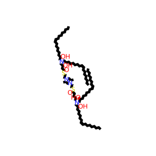 CCCCCCCC/C=C\CCCCCCC(O)CN(CCCCC(=O)SCCN1CC(C)N(CCSC(=O)CCCN(CC(O)CCCCCC/C=C\CCCCCCCC)CC(O)CCCCCC/C=C\CCCCCCCC)CC1C)CC(O)CCCCCC/C=C\CCCCCCCC